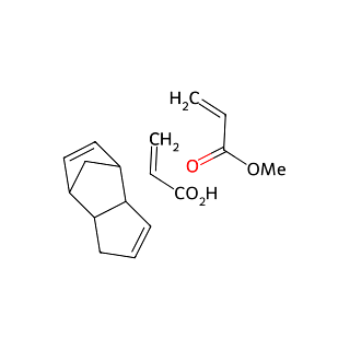 C1=CC2C3C=CC(C3)C2C1.C=CC(=O)O.C=CC(=O)OC